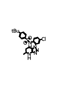 CC1CCc2c(nnn2-c2cc(Cl)ccc2NS(=O)(=O)c2ccc(C(C)(C)C)cc2)N1